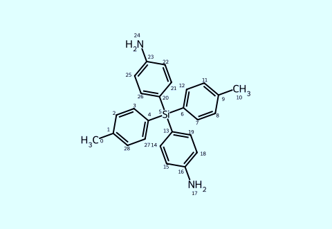 Cc1ccc([Si](c2ccc(C)cc2)(c2ccc(N)cc2)c2ccc(N)cc2)cc1